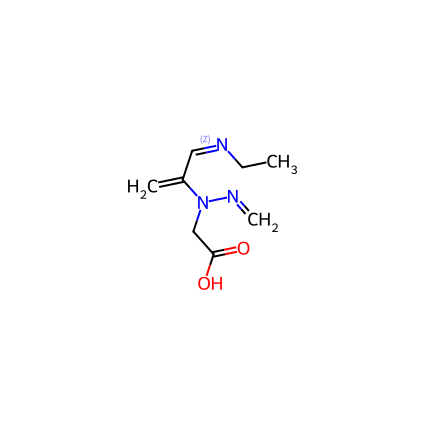 C=NN(CC(=O)O)C(=C)/C=N\CC